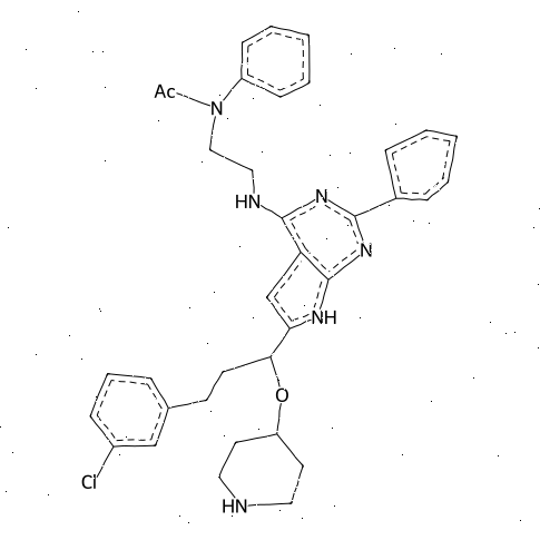 CC(=O)N(CCNc1nc(-c2ccccc2)nc2[nH]c(C(CCc3cccc(Cl)c3)OC3CCNCC3)cc12)c1ccccc1